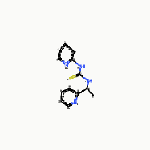 CC(NC(=S)Nc1ccccn1)c1ccccn1